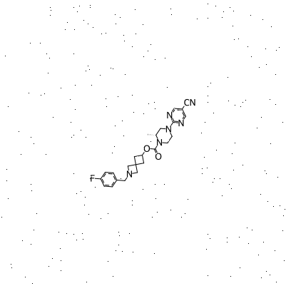 C[C@@H]1CN(c2ncc(C#N)cn2)CCN1C(=O)OC1CC2(C1)CN(Cc1ccc(F)cc1)C2